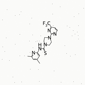 Cc1cc(C)nc(NC(=S)N2CCN(c3nccc(C(F)(F)F)n3)CC2)c1